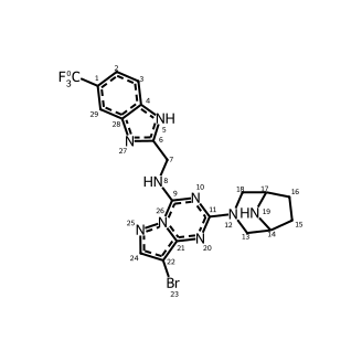 FC(F)(F)c1ccc2[nH]c(CNc3nc(N4CC5CCC(C4)N5)nc4c(Br)cnn34)nc2c1